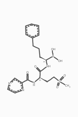 CS(=O)(=O)CC[C@@H](NC(=O)c1cnccn1)C(=O)N[C@@H](CCCc1ccccc1)B(O)O